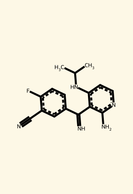 CC(C)Nc1ccnc(N)c1C(=N)c1ccc(F)c(C#N)c1